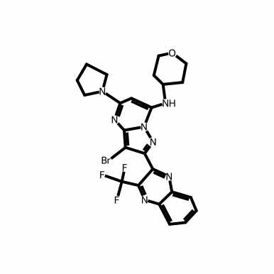 FC(F)(F)c1nc2ccccc2nc1-c1nn2c(NC3CCOCC3)cc(N3CCCC3)nc2c1Br